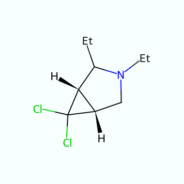 CCC1[C@@H]2[C@H](CN1CC)C2(Cl)Cl